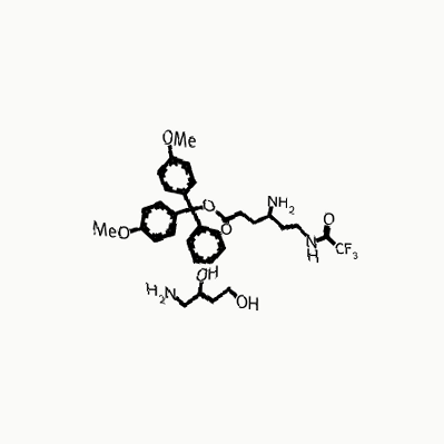 COc1ccc(C(OC(=O)CCC(N)CCNC(=O)C(F)(F)F)(c2ccccc2)c2ccc(OC)cc2)cc1.NCC(O)CCO